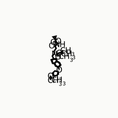 CC(C)(C)OC(=O)N(CCC(=O)NS(=O)(=O)C1CC1)Cc1ccc2cc(O[C@H]3CC[C@H](C(C)(C)C)CC3)ccc2c1